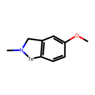 COc1ccc2c(c1)CN(C)[Te]2